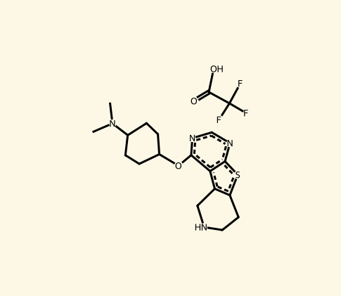 CN(C)C1CCC(Oc2ncnc3sc4c(c23)CNCC4)CC1.O=C(O)C(F)(F)F